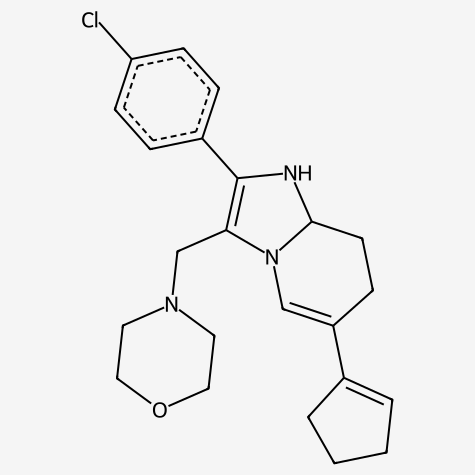 Clc1ccc(C2=C(CN3CCOCC3)N3C=C(C4=CCCC4)CCC3N2)cc1